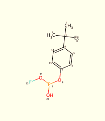 CCC(C)(C)c1ccc(OP(O)OF)cc1